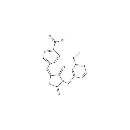 COc1cccc(CN2C(=O)SC(=Cc3ccc([N+](=O)[O-])cc3)C2=O)c1